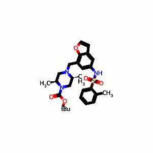 Cc1ccccc1S(=O)(=O)Nc1cc(CN2C[C@H](C)N(C(=O)OC(C)(C)C)C[C@H]2C)c2occc2c1